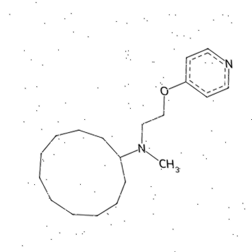 CN(CCOc1ccncc1)C1CCCCCCCCCC1